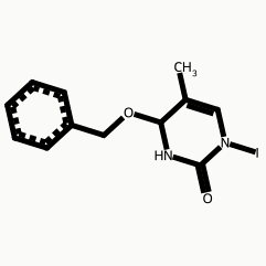 CC1=CN(I)C(=O)NC1OCc1ccccc1